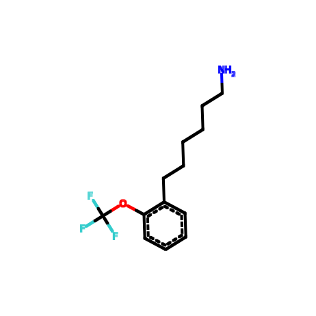 NCCCCCCc1ccccc1OC(F)(F)F